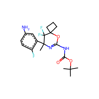 CC(C)(C)OC(=O)NC1=NC(C)(c2cc(N)ccc2F)C(F)(F)C2(CCC2)O1